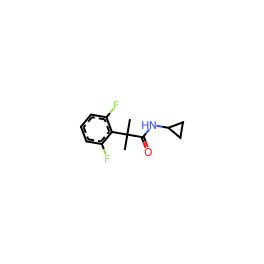 CC(C)(C(=O)NC1CC1)c1c(F)cccc1F